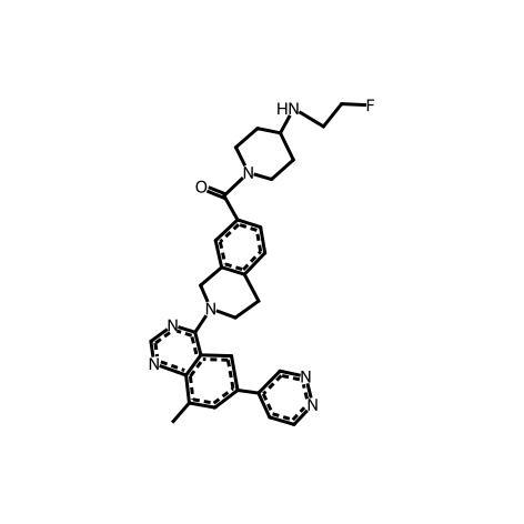 Cc1cc(-c2ccnnc2)cc2c(N3CCc4ccc(C(=O)N5CCC(NCCF)CC5)cc4C3)ncnc12